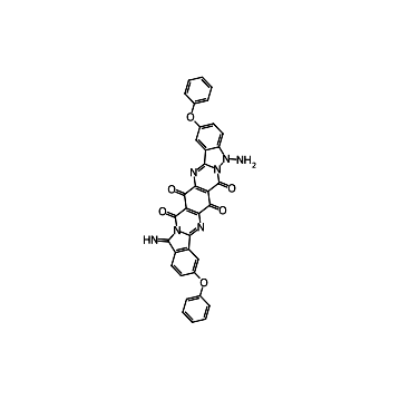 N=c1c2ccc(Oc3ccccc3)cc2c2nc3c(=O)c4c(=O)n5c(nc4c(=O)c3c(=O)n12)c1cc(Oc2ccccc2)ccc1n5N